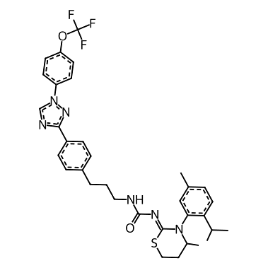 Cc1ccc(C(C)C)c(N2/C(=N/C(=O)NCCCc3ccc(-c4ncn(-c5ccc(OC(F)(F)F)cc5)n4)cc3)SCCC2C)c1